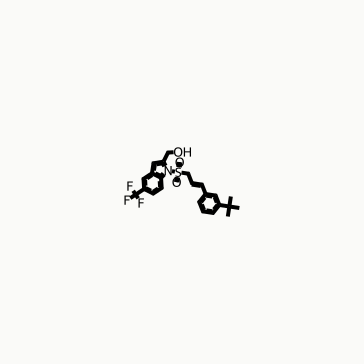 CC(C)(C)c1cccc(C=CCS(=O)(=O)n2c(CO)cc3cc(C(F)(F)F)ccc32)c1